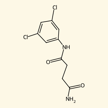 NC(=O)CCC(=O)Nc1cc(Cl)cc(Cl)c1